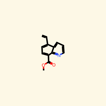 C=Cc1ccc(C(=O)OC)c2ncccc12